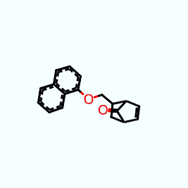 O=C1C2C=CC1C(COc1cccc3ccccc13)C2